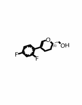 OC[C@@H]1CCC(c2ccc(F)cc2F)=CO1